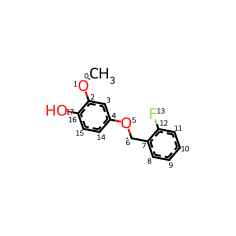 COc1cc(O[CH]c2ccccc2F)ccc1O